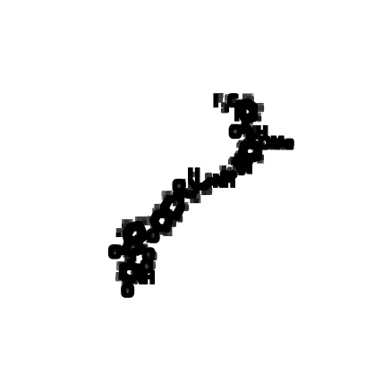 COc1cc2nn(CCNCCNCC(=O)N3CCC4(CCC(Oc5cccc6c5C(=O)N(C5CCC(=O)NC5=O)C6=O)CC4)CC3)cc2cc1NC(=O)c1cccc(C(F)(F)F)n1